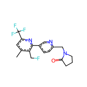 Cc1cc(C(F)(F)F)nc(-c2ccc(CN3CCCC3=O)nc2)c1CF